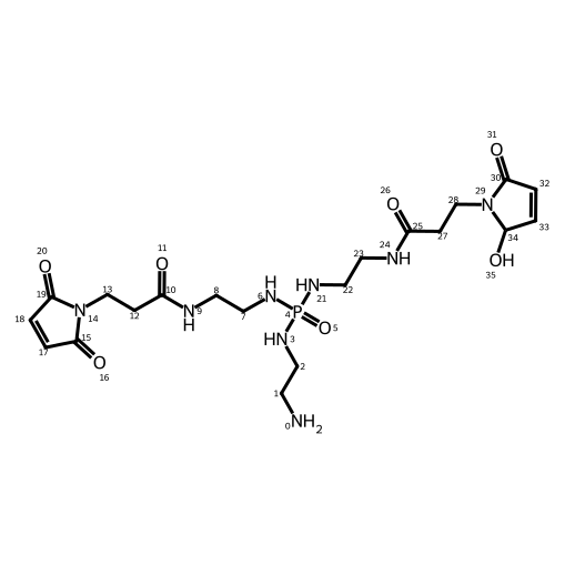 NCCNP(=O)(NCCNC(=O)CCN1C(=O)C=CC1=O)NCCNC(=O)CCN1C(=O)C=CC1O